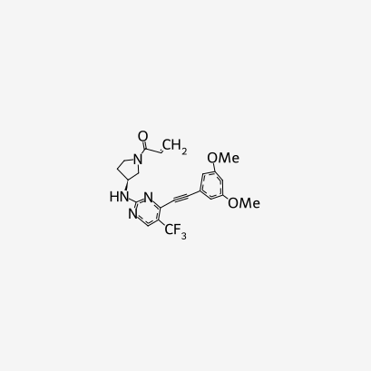 C=CC(=O)N1CC[C@H](Nc2ncc(C(F)(F)F)c(C#Cc3cc(OC)cc(OC)c3)n2)C1